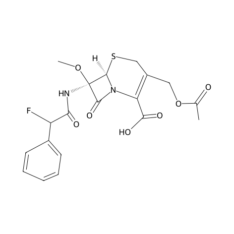 CO[C@]1(NC(=O)C(F)c2ccccc2)C(=O)N2C(C(=O)O)=C(COC(C)=O)CS[C@@H]21